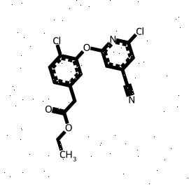 CCOC(=O)Cc1ccc(Cl)c(Oc2cc(C#N)cc(Cl)n2)c1